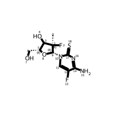 C[C@@]1(F)C(O)[C@@H](CO)O[C@H]1n1cc(F)c(N)nc1=S